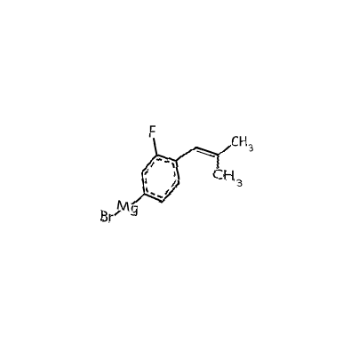 CC(C)=Cc1cc[c]([Mg][Br])cc1F